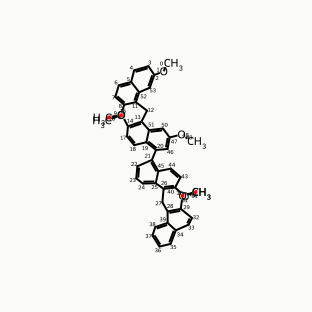 COc1ccc2ccc(OC)c(Cc3c(OC)ccc4c(-c5cccc6c(Cc7c(OC)ccc8ccccc78)c(OC)ccc56)cc(OC)cc34)c2c1